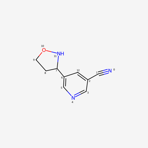 N#Cc1cncc(C2CCON2)c1